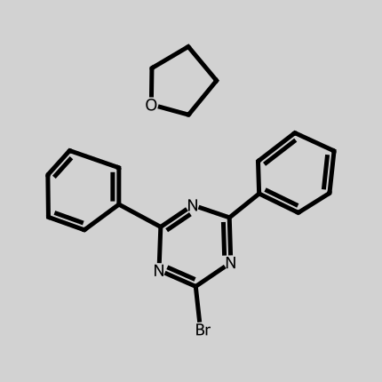 Brc1nc(-c2ccccc2)nc(-c2ccccc2)n1.C1CCOC1